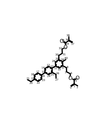 C=C(C)C(=O)OCCCc1cc(-c2ccc(-c3ccc(CC)cc3)cc2CC)cc(CCCOC(=O)C(=C)C)c1C